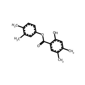 Cc1ccc(OC(=O)c2cc(C)c(C)cc2O)cc1C